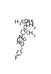 Cc1cc(-n2ccnc(OCCc3ccc(F)cc3)c2=O)ccc1OCC(C)(C)O